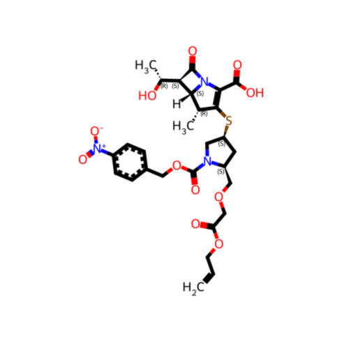 C=CCOC(=O)COC[C@@H]1C[C@H](SC2=C(C(=O)O)N3C(=O)[C@H]([C@@H](C)O)[C@H]3[C@H]2C)CN1C(=O)OCc1ccc([N+](=O)[O-])cc1